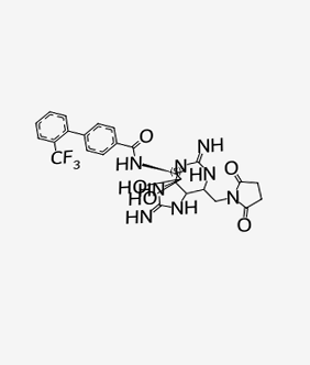 N=C1NC2C(CN3C(=O)CCC3=O)NC(=N)N3C[C@H](NC(=O)c4ccc(-c5ccccc5C(F)(F)F)cc4)C(O)(O)C23N1